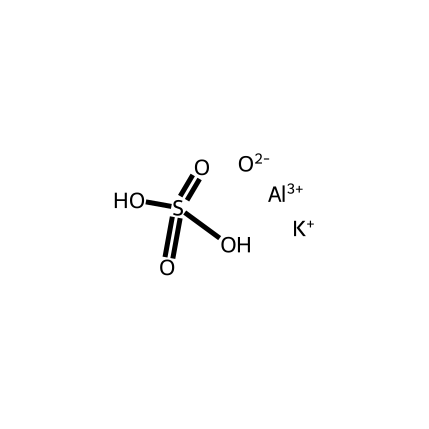 O=S(=O)(O)O.[Al+3].[K+].[O-2]